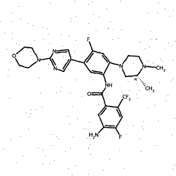 C[C@@H]1CN(c2cc(F)c(-c3cnc(N4CCOCC4)nc3)cc2NC(=O)c2cc(N)c(F)cc2C(F)(F)F)CCN1C